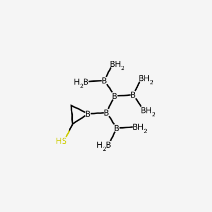 BB(B)B(B(B)B)B(B(B)B)B1CC1S